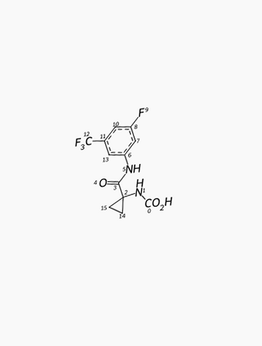 O=C(O)NC1(C(=O)Nc2cc(F)cc(C(F)(F)F)c2)CC1